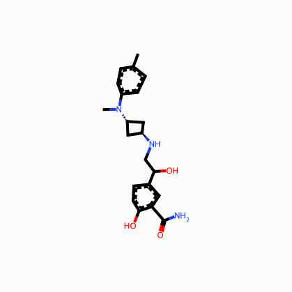 Cc1ccc(N(C)[C@H]2C[C@H](NCC(O)c3ccc(O)c(C(N)=O)c3)C2)cc1